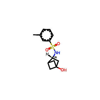 Cc1cccc(S(=O)(=O)N[C@@H]2CC3(O)CC2C3)c1